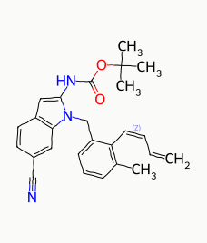 C=C/C=C\c1c(C)cccc1Cn1c(NC(=O)OC(C)(C)C)cc2ccc(C#N)cc21